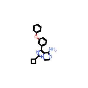 Nc1nccn2c(C3CCC3)nc(-c3cccc(Oc4ccccc4)c3)c12